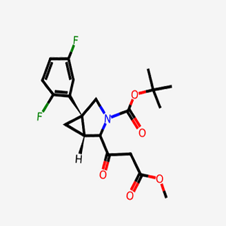 COC(=O)CC(=O)C1[C@@H]2C[C@]2(c2cc(F)ccc2F)CN1C(=O)OC(C)(C)C